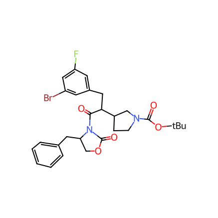 CC(C)(C)OC(=O)N1CCC(C(Cc2cc(F)cc(Br)c2)C(=O)N2C(=O)OCC2Cc2ccccc2)C1